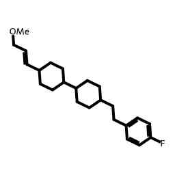 COCC=CC1CCC(C2CCC(CCc3ccc(F)cc3)CC2)CC1